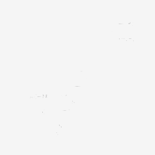 COC(CO)CC#CC#Cc1ccc(-c2cc(C(=O)NO)c3c[n+]([O-])ccc3n2)cc1